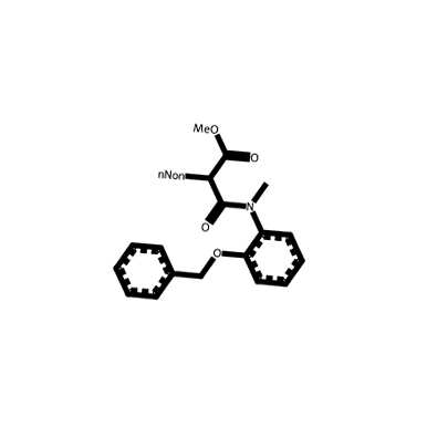 CCCCCCCCCC(C(=O)OC)C(=O)N(C)c1ccccc1OCc1ccccc1